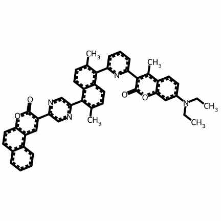 CCN(CC)c1ccc2c(C)c(-c3cccc(-c4c(C)ccc5c(-c6cnc(-c7cc8c(ccc9ccccc98)oc7=O)cn6)c(C)ccc45)n3)c(=O)oc2c1